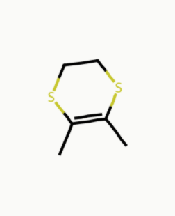 CC1=C(C)SCCS1